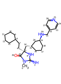 CN1C(=N)N[C@](CCC2CCCCC2)(C[C@H]2CCC[C@H](NCc3ccncc3)C2)C1=O